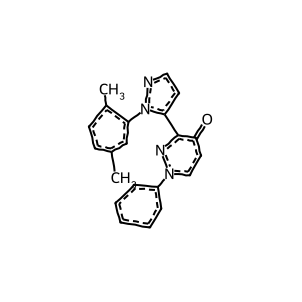 Cc1ccc(C)c(-n2nccc2-c2nn(-c3ccccc3)ccc2=O)c1